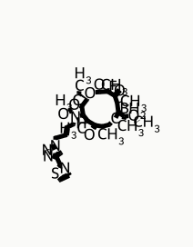 B[C@@]1(C(C)OC)CC[C@@H](C)C(=O)[C@H](C)[C@H]2N(C/C=C/Cn3cc(-c4nccs4)nn3)C(=O)O[C@]2(C)[C@@H](CC)OC(=O)[C@@](C)(F)C(=O)[C@@H]1C